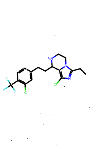 CCc1nc(Cl)c2n1CCNC2CCc1ccc(C(F)(F)F)c(Cl)c1